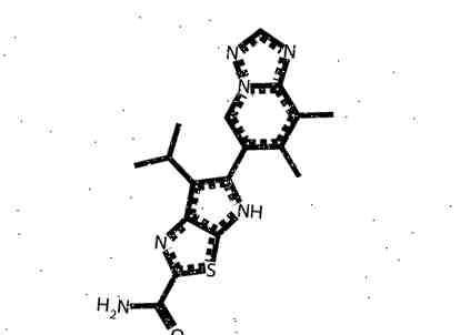 Cc1c(-c2[nH]c3sc(C(N)=O)nc3c2C(C)C)cn2ncnc2c1C